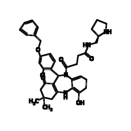 CC1(C)CC(=O)C2=C(C1)NC1=C(O)CCC=C1N(C(=O)CCC(=O)NC[C@H]1CCCN1)C2c1ccc(OCc2ccccc2)cc1Cl